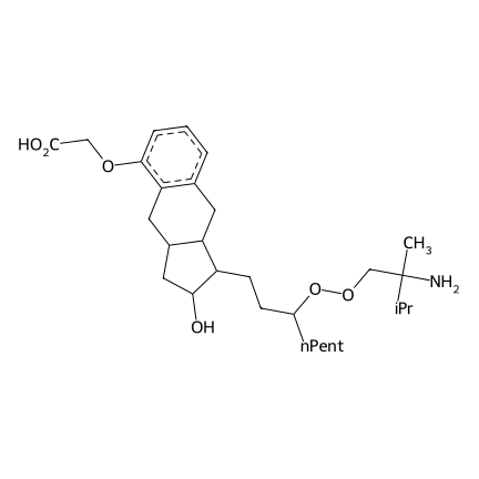 CCCCCC(CCC1C(O)CC2Cc3c(cccc3OCC(=O)O)CC21)OOCC(C)(N)C(C)C